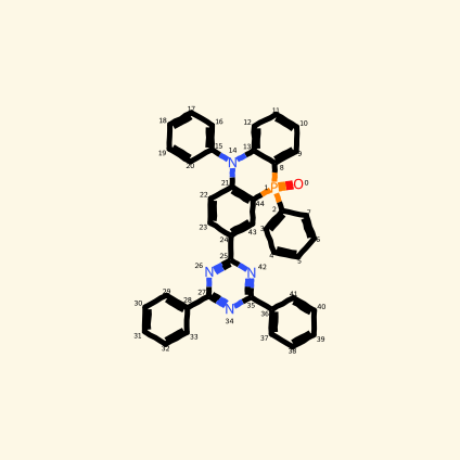 O=P1(c2ccccc2)c2ccccc2N(c2ccccc2)c2ccc(-c3nc(-c4ccccc4)nc(-c4ccccc4)n3)cc21